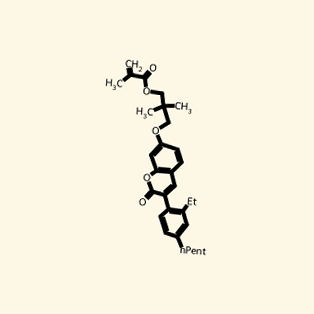 C=C(C)C(=O)OCC(C)(C)COc1ccc2cc(-c3ccc(CCCCC)cc3CC)c(=O)oc2c1